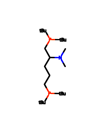 CN(C)C(CCCP(C(C)(C)C)C(C)(C)C)CP(C(C)(C)C)C(C)(C)C